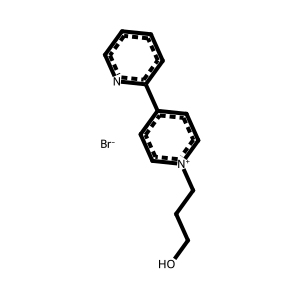 OCCC[n+]1ccc(-c2ccccn2)cc1.[Br-]